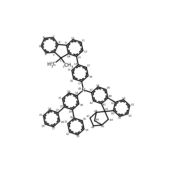 CC1(C)c2ccccc2-c2cccc(-c3ccc(N(c4ccc(-c5ccccc5)c(-c5ccccc5)c4)c4ccc5c(c4)C4(CC6CCC4C6)c4ccccc4-5)cc3)c21